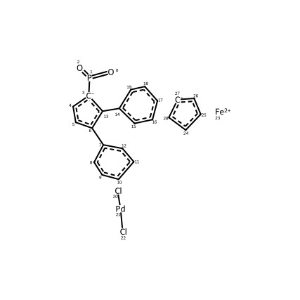 O=P(=O)[c-]1ccc(-c2ccccc2)c1-c1ccccc1.[Cl][Pd][Cl].[Fe+2].c1cc[cH-]c1